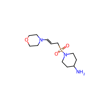 NC1CCN(S(=O)(=O)CC=CN2CCOCC2)CC1